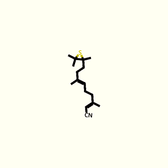 CC(=CC#N)CCC=C(C)CCC1(C)SC1(C)C